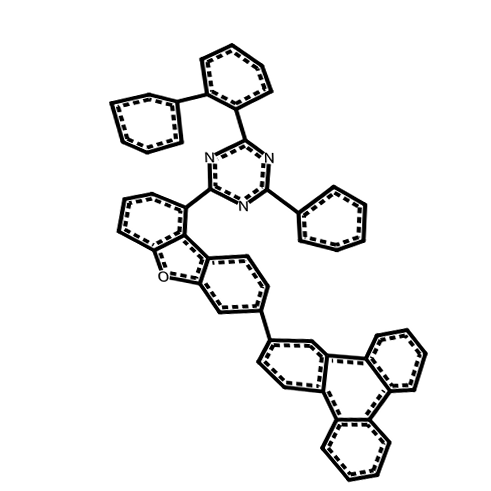 c1ccc(-c2nc(-c3ccccc3-c3ccccc3)nc(-c3cccc4oc5cc(-c6ccc7c8ccccc8c8ccccc8c7c6)ccc5c34)n2)cc1